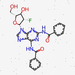 O=C(Nc1nc(NC(=O)c2ccccc2)c2ncn([C@@H]3O[C@H](CO)[C@@H](O)[C@@H]3F)c2n1)c1ccccc1